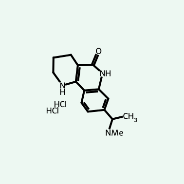 CNC(C)c1ccc2c3c(c(=O)[nH]c2c1)CCCN3.Cl.Cl